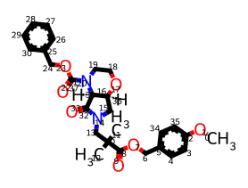 COc1ccc(COC(=O)C(C)(C)CN2C[C@@H]3OCCN(C(=O)OCc4ccccc4)[C@@H]3C2=O)cc1